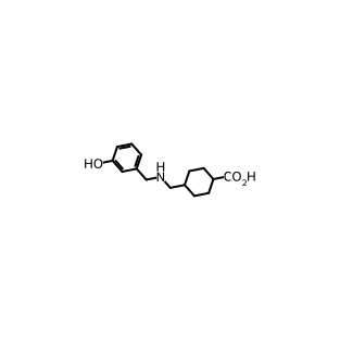 O=C(O)C1CCC(CNCc2cccc(O)c2)CC1